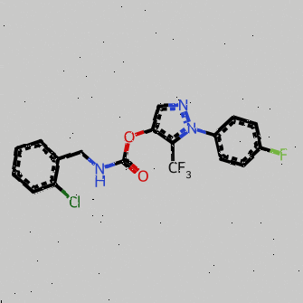 O=C(NCc1ccccc1Cl)Oc1cnn(-c2ccc(F)cc2)c1C(F)(F)F